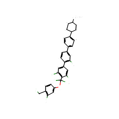 CCCCCC1CCC(c2ccc(-c3ccc(-c4cc(F)c(C(F)(F)Oc5ccc(CF)c(F)c5)c(F)c4)c(F)c3)cc2)CC1